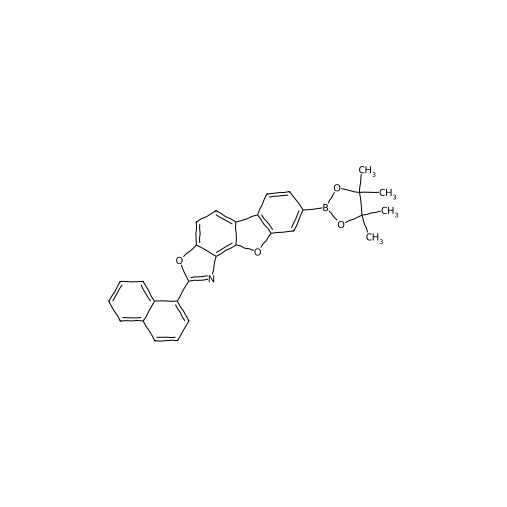 CC1(C)OB(c2ccc3c(c2)oc2c3ccc3oc(-c4cccc5ccccc45)nc32)OC1(C)C